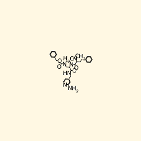 CN(C)C(CCc1ccccc1)C(=O)N1CCN(C(=O)OCc2ccccc2)CC1C(=O)NCc1ccnc(N)c1